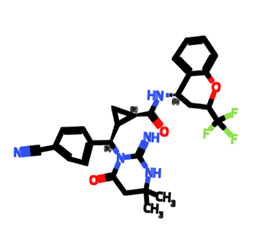 CC1(C)CC(=O)N([C@@H](c2ccc(C#N)cc2)C2C[C@H]2C(=O)N[C@H]2CC(C(F)(F)F)Oc3ccccc32)C(=N)N1